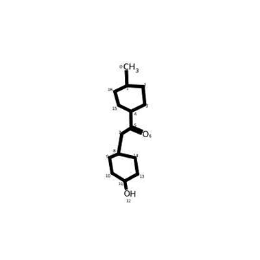 CC1CCC(C(=O)CC2CCC(O)CC2)CC1